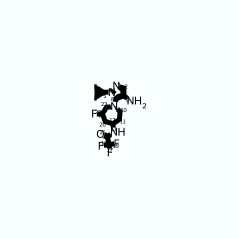 Nc1cnn(C2CC2)c1N1CCC(NC(=O)C(F)(F)F)CC(F)C1